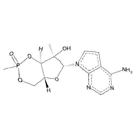 C[C@@]1(O)[C@@H]2OP(C)(=O)OC[C@H]2O[C@H]1n1ccc2c(N)ncnc21